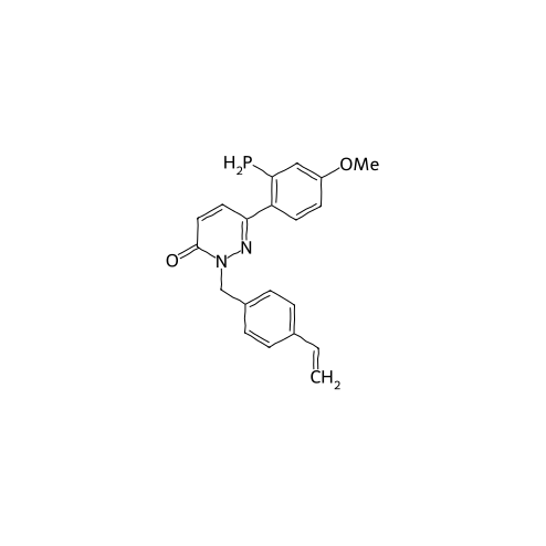 C=Cc1ccc(Cn2nc(-c3ccc(OC)cc3P)ccc2=O)cc1